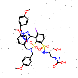 COc1ccc(CN(Cc2ccc(OC)cc2)S(=O)(=O)c2c(S(=O)(=O)N[C@H](CO)CNC(=O)O)ccc(I)c2-c2nnn(Cc3ccc(OC)cc3)n2)cc1